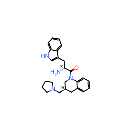 N[C@H](Cc1c[nH]c2ccccc12)C(=O)N1C[C@H](CN2CCCC2)Cc2ccccc21